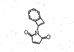 O=C1C=CC(=O)N1C1=Cc2ccccc21